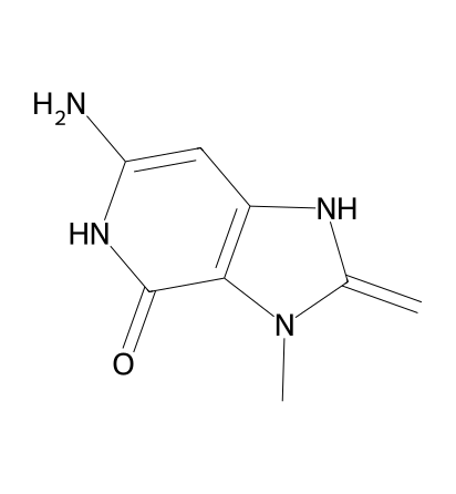 C=C1Nc2cc(N)[nH]c(=O)c2N1C